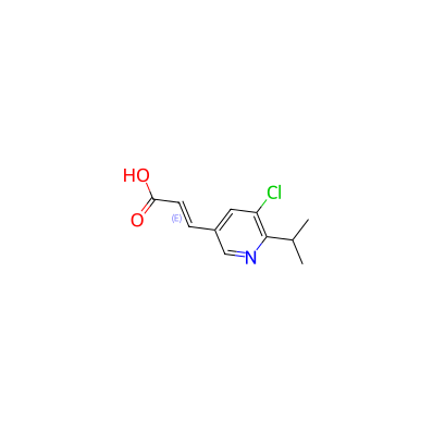 CC(C)c1ncc(/C=C/C(=O)O)cc1Cl